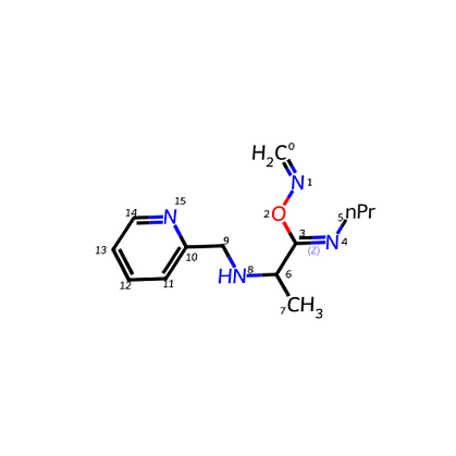 C=NO/C(=N\CCC)C(C)NCc1ccccn1